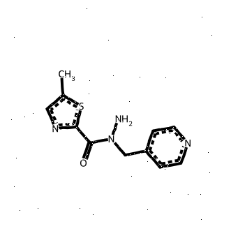 Cc1cnc(C(=O)N(N)Cc2ccncc2)s1